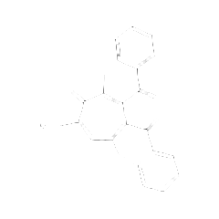 COc1cc(C)c(C(=O)c2ccccc2)c(C(=O)c2ccccc2)c(O)c1=O